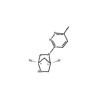 Ic1ccc(N2C[C@H]3C[C@@H]2CN3)nn1